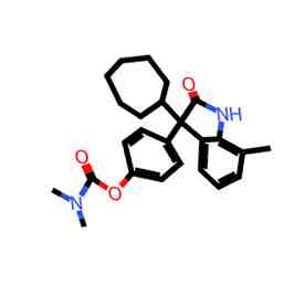 Cc1cccc2c1NC(=O)C2(c1ccc(OC(=O)N(C)C)cc1)C1CCCCCC1